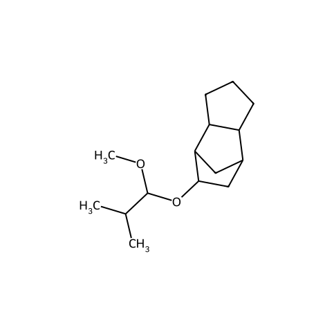 COC(OC1CC2CC1C1CCCC21)C(C)C